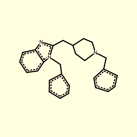 c1ccc(CN2CCC(Cc3nc4ccccc4n3Cc3ccccc3)CC2)cc1